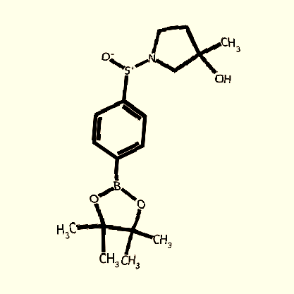 CC1(O)CCN([S+]([O-])c2ccc(B3OC(C)(C)C(C)(C)O3)cc2)C1